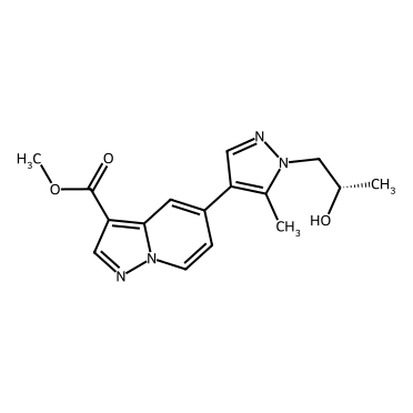 COC(=O)c1cnn2ccc(-c3cnn(C[C@H](C)O)c3C)cc12